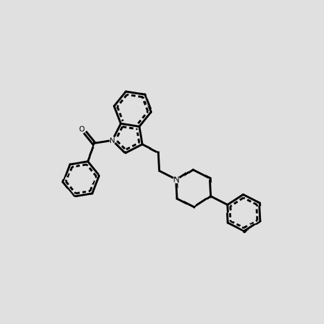 O=C(c1ccccc1)n1cc(CCN2C[CH][C](c3ccccc3)CC2)c2ccccc21